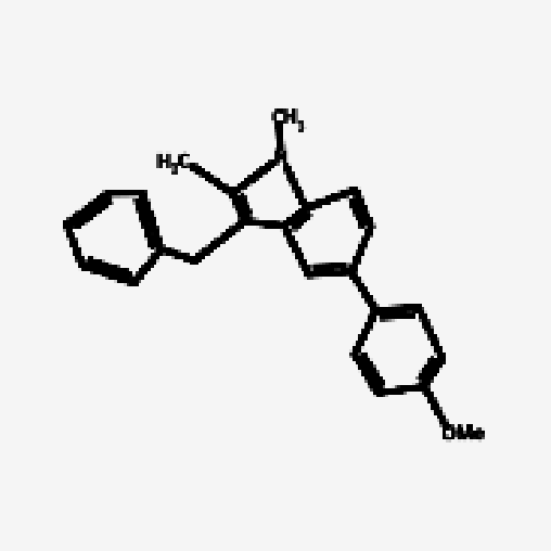 COc1ccc(-c2ccc3c(c2)c(Cc2ccccc2)c(C)n3C)cc1